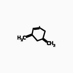 C=C1C=[C]CC(=C)C1